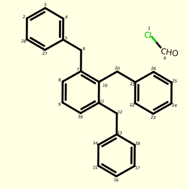 O=CCl.c1ccc(Cc2cccc(Cc3ccccc3)c2Cc2ccccc2)cc1